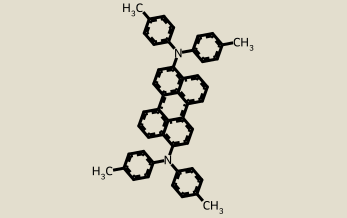 Cc1ccc(N(c2ccc(C)cc2)c2ccc3c4cccc5c(N(c6ccc(C)cc6)c6ccc(C)cc6)ccc(c6cccc2c63)c54)cc1